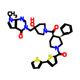 Cn1ccc2c(=O)n(CC3(O)CCN(C(=O)[C@@H]4CCN(C(=O)c5ccc(-c6cccs6)s5)C[C@H]4c4ccccc4)CC3)cnc21